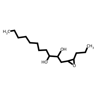 CCCCCCCCC(O)C(O)CC1OC1CCC